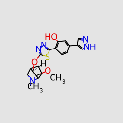 COC1C2CCC(CN2C)[C@H]1Oc1nnc(-c2ccc(-c3cn[nH]c3)cc2O)s1